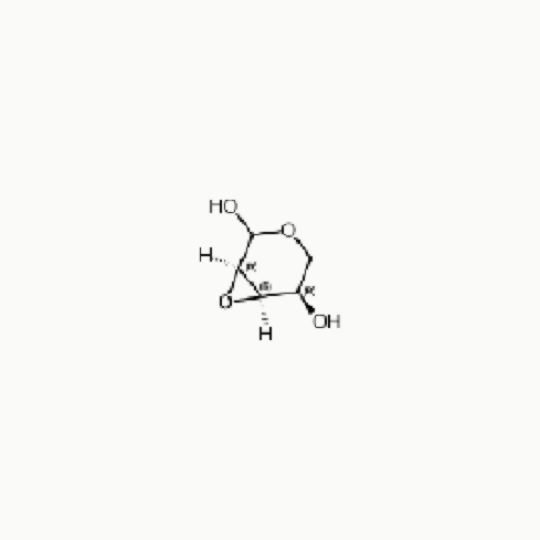 OC1OC[C@@H](O)[C@H]2O[C@@H]12